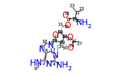 CNc1nc(N)nc2c1ncn2[C@@H]1O[C@H](COC(=O)[C@@H](N)C(C)C)[C@@H](OC(C)=O)[C@@]1(C)F